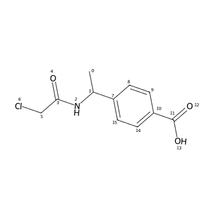 CC(NC(=O)CCl)c1ccc(C(=O)O)cc1